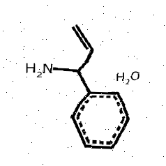 C=CC(N)c1ccccc1.O